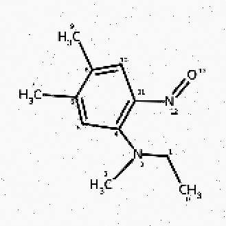 CCN(C)c1cc(C)c(C)cc1N=O